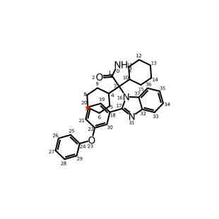 NC(=O)C(C1CCCCC1)(C1CCCCC1)n1c(-c2cccc(Oc3ccccc3)c2)nc2ccccc21